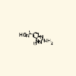 CC(=NO)c1ccc2nc(N)n[n+]([O-])c2c1